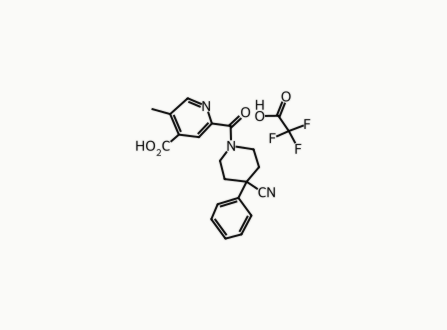 Cc1cnc(C(=O)N2CCC(C#N)(c3ccccc3)CC2)cc1C(=O)O.O=C(O)C(F)(F)F